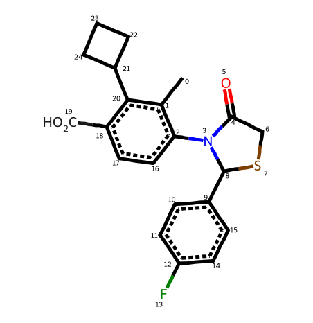 Cc1c(N2C(=O)CSC2c2ccc(F)cc2)ccc(C(=O)O)c1C1CCC1